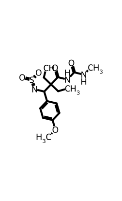 CCC(CC)(C(=O)NC(=O)NC)C(N=S(=O)=O)c1ccc(OC)cc1